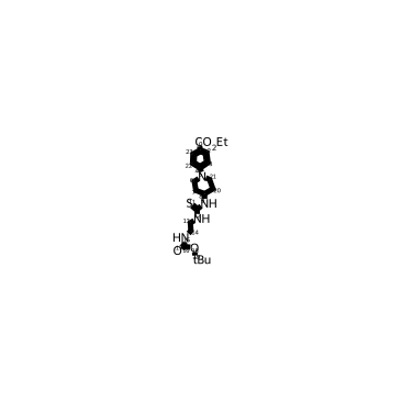 CCOC(=O)c1ccc(N2CCC(NC(=S)NCCNC(=O)OC(C)(C)C)CC2)cc1